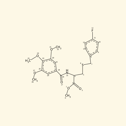 COC(=O)C(CSCc1ccc(F)cc1)NC(=O)c1cc(OC)c(OC)c(OC)c1